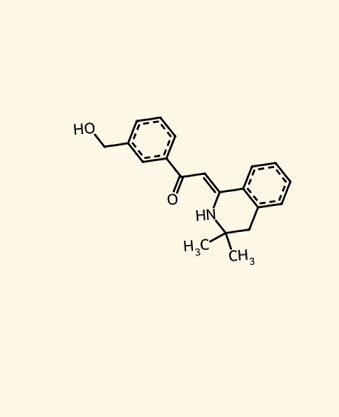 CC1(C)Cc2ccccc2/C(=C/C(=O)c2cccc(CO)c2)N1